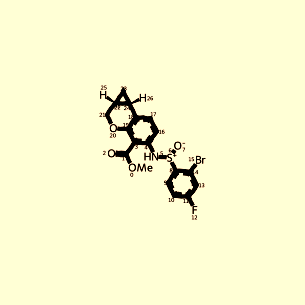 COC(=O)c1c(N[S+]([O-])c2ccc(F)cc2Br)ccc2c1OC[C@@H]1C[C@H]21